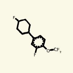 Fc1cc(C2CCC(F)CC2)ccc1OC(F)(F)F